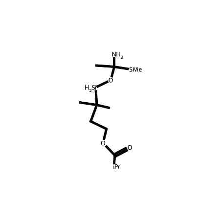 CSC(C)(N)O[SiH2]C(C)(C)CCOC(=O)C(C)C